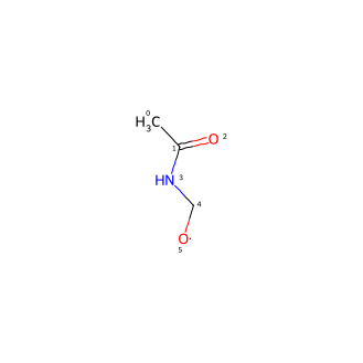 CC(=O)NC[O]